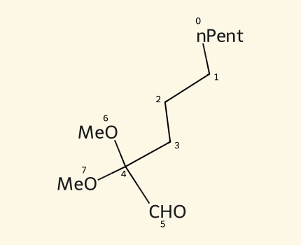 CCCCCCCCC(C=O)(OC)OC